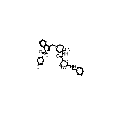 Cc1ccc(S(=O)(=O)n2cc(CN3CCC(C#N)(NC(=O)C(CC(C)C)OC(=O)NCc4ccccc4)CC3)c3ccccc32)cc1